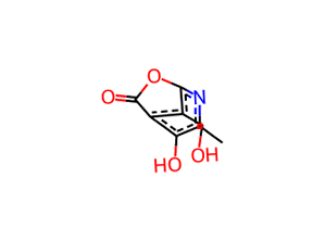 Cc1nc2c(CO)c(c1O)C(=O)O2